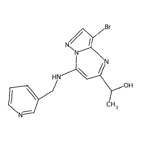 CC(O)c1cc(NCc2cccnc2)n2ncc(Br)c2n1